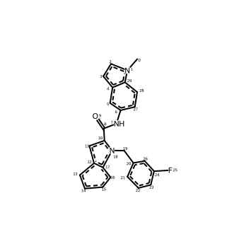 Cn1ccc2cc(NC(=O)c3cc4ccccc4n3Cc3cccc(F)c3)ccc21